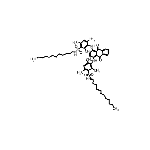 CCCCCCCCCCCCNS(=O)(=O)c1c(C)cc(C)c(Nc2ccc(Nc3c(C)cc(C)c(S(=O)(=O)NCCCCCCCCCCCC)c3C)c3c2C(=O)c2ccccc2C3=O)c1C